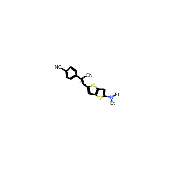 CCN(CC)c1cc2sc(/C=C(\C#N)c3ccc(C#N)cc3)cc2s1